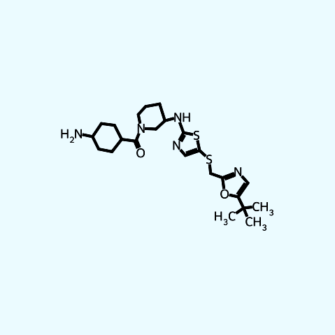 CC(C)(C)c1cnc(CSc2cnc(NC3CCCN(C(=O)C4CCC(N)CC4)C3)s2)o1